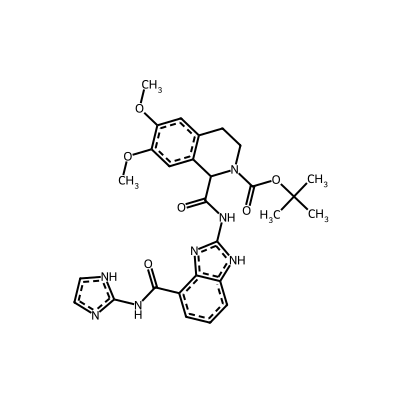 COc1cc2c(cc1OC)C(C(=O)Nc1nc3c(C(=O)Nc4ncc[nH]4)cccc3[nH]1)N(C(=O)OC(C)(C)C)CC2